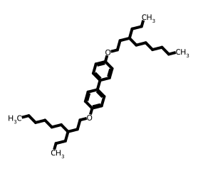 CCCCCCC(CCC)CCOc1ccc(-c2ccc(OCCC(CCC)CCCCCC)cc2)cc1